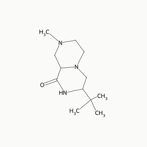 CN1CCN2CC(C(C)(C)C)NC(=O)C2C1